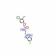 CCc1cc(OCC(=O)NCCc2nc3cc(F)ccc3[nH]2)ccc1Cl